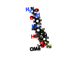 COCC(=O)O[C@]1(C(=O)SCF)[C@H](C)C[C@H]2[C@@H]3CCC4=Cc5c(cnn5-c5cccc(C(=O)NCC(N)=O)c5)C[C@]4(C)[C@@]3(F)[C@@H](O)C[C@@]21C